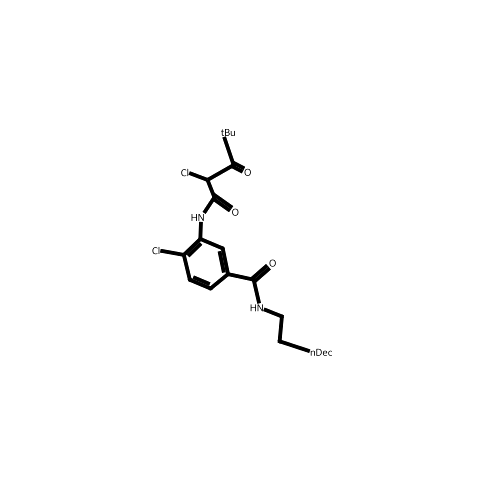 CCCCCCCCCCCCNC(=O)c1ccc(Cl)c(NC(=O)C(Cl)C(=O)C(C)(C)C)c1